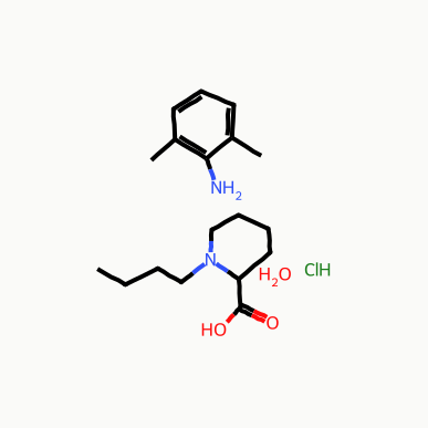 CCCCN1CCCCC1C(=O)O.Cc1cccc(C)c1N.Cl.O